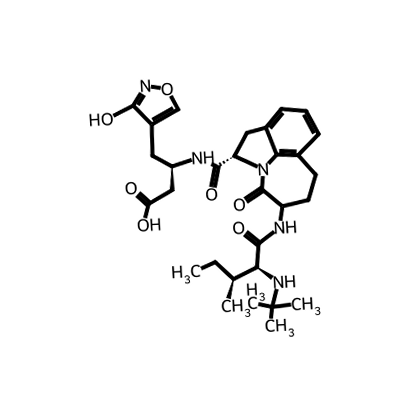 CC[C@H](C)[C@H](NC(C)(C)C)C(=O)NC1CCc2cccc3c2N(C1=O)[C@H](C(=O)N[C@@H](CC(=O)O)Cc1conc1O)C3